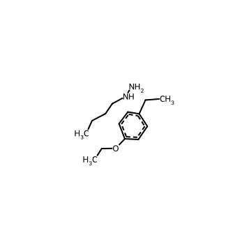 CCCCNN.CCOc1ccc(CC)cc1